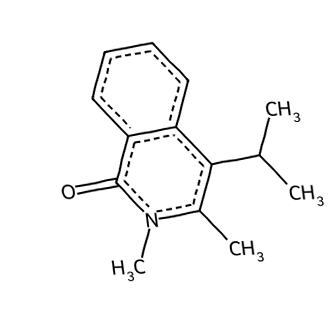 Cc1c(C(C)C)c2ccccc2c(=O)n1C